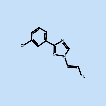 N#C/C=C/n1cnc(-c2cccc(Cl)c2)n1